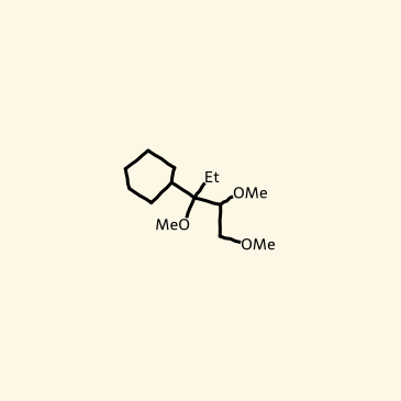 CCC(OC)(C1CCCCC1)C(COC)OC